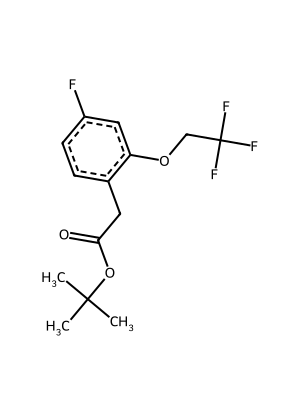 CC(C)(C)OC(=O)Cc1ccc(F)cc1OCC(F)(F)F